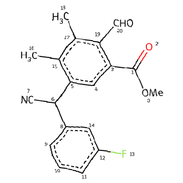 COC(=O)c1cc(C(C#N)c2cccc(F)c2)c(C)c(C)c1C=O